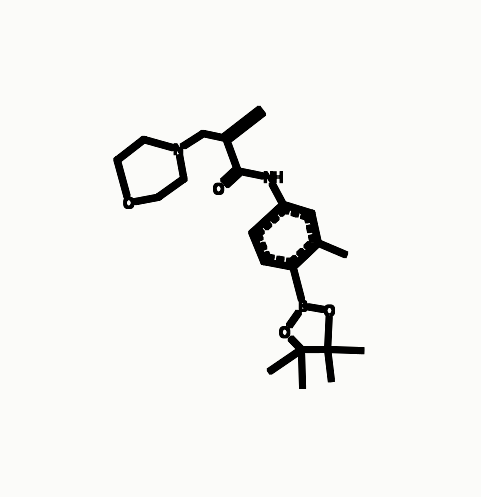 C=C(CN1CCOCC1)C(=O)Nc1ccc(B2OC(C)(C)C(C)(C)O2)c(C)c1